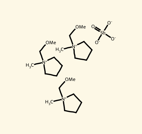 COC[N+]1(C)CCCC1.COC[N+]1(C)CCCC1.COC[N+]1(C)CCCC1.[O]=[Sb]([O-])([O-])[O-]